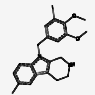 COc1cc(Cn2c3c(c4cc(C)ccc42)CCNC3)cc(I)c1OC